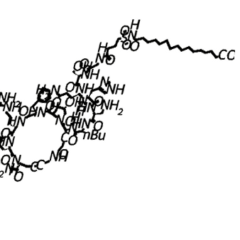 CCCC[C@H](NC(=O)[C@H](CN)NC(=O)[C@H](Cc1c[nH]cn1)N[C@@H](CCC(N)=O)NC(=O)[C@H](CO)NC(=O)CNC(=O)CCCS(=O)(=O)NC(=O)CCCCCCCCCCCCCCC(=O)O)C(=O)N[C@H]1CCC(=O)NCCCC[C@@H](C(N)=O)NC(=O)[C@H](Cc2c[nH]c3ccccc23)NC(=O)[C@H](CCCNC(=N)N)NC(=O)[C@@H](Cc2ccccc2)NC(=O)[C@@H]2C[C@@H](O)CN2C1=O